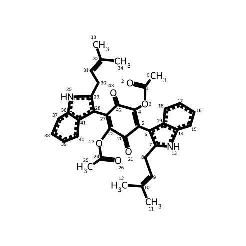 CC(=O)OC1=C(c2c(CC=C(C)C)[nH]c3ccccc23)C(=O)C(OC(C)=O)=C(c2c(CC=C(C)C)[nH]c3ccccc23)C1=O